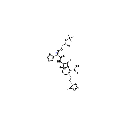 Cn1nnnc1SCC1=C(C(=O)O)N2C(=O)C(NC(=O)/C(=N\OCC(=O)OC(C)(C)C)c3cscn3)[C@H]2SC1